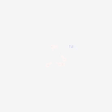 CCCC(O)(C(=O)O)C(=O)CN